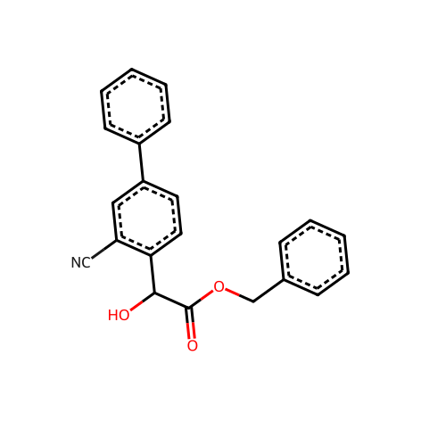 N#Cc1cc(-c2ccccc2)ccc1C(O)C(=O)OCc1ccccc1